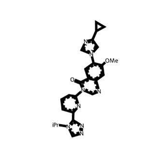 COc1cc2ncn(-c3cccc(-c4nncn4C(C)C)n3)c(=O)c2cc1-n1cnc(C2CC2)c1